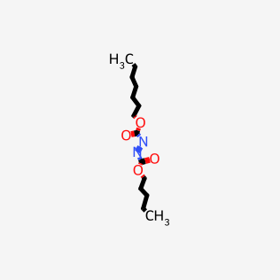 CCCCCCCOC(=O)N=NC(=O)OCCCCC